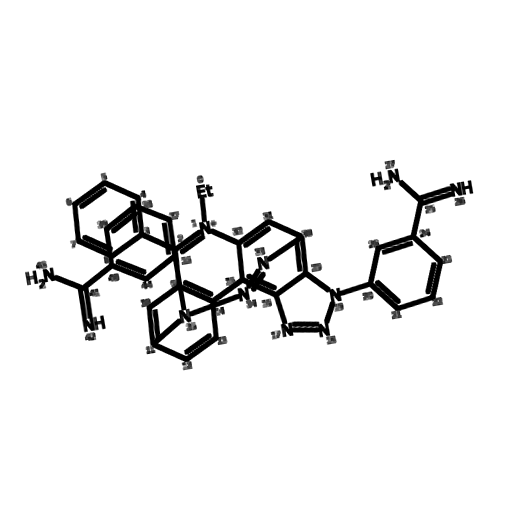 CC[n+]1c(-c2ccccc2)c2cc3ccc2c2c4nnn(-c5cccc(C(=N)N)c5)c4c(cc21)nnn3-c1cccc(C(=N)N)c1